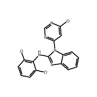 Clc1cc(-n2c(Nc3c(Cl)cccc3Cl)nc3ccccc32)ncn1